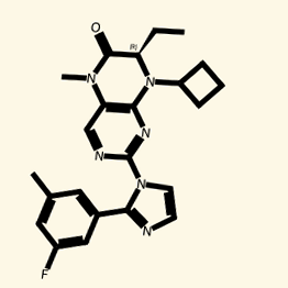 CC[C@@H]1C(=O)N(C)c2cnc(-n3ccnc3-c3cc(C)cc(F)c3)nc2N1C1CCC1